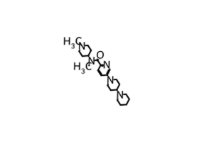 CN1CCC(N(C)C(=O)c2ccc(N3CCC(N4CCCCC4)CC3)cn2)CC1